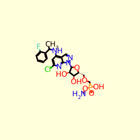 CC(Nc1cc(Cl)nc2c1cnn2C1O[C@H](COCP(=O)(O)ON)[C@@H](O)[C@H]1O)c1ccccc1F